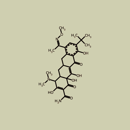 CO/N=C(/C)c1cc(C(C)(C)C)c(O)c2c1CC1CC3C(N(C)C)C(O)=C(C(N)=O)C(=O)C3(O)C(O)=C1C2=O